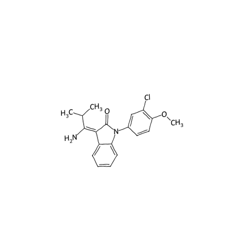 COc1ccc(N2C(=O)C(=C(N)C(C)C)c3ccccc32)cc1Cl